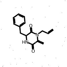 C=CCN1C(=C)C(=O)NC(Cc2ccccc2)C1=O